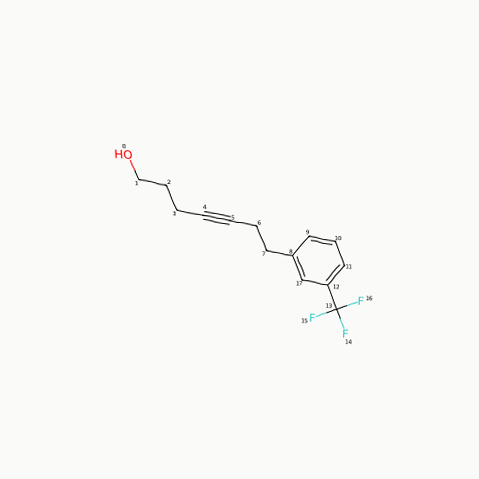 OCCCC#CCCc1cccc(C(F)(F)F)c1